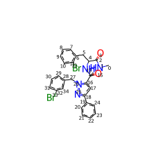 CNC(=O)C(Cc1ccccc1Br)NC(=O)c1cc(-c2ccccc2)nn1Cc1cccc(Br)c1